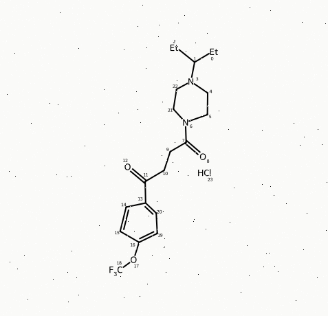 CCC(CC)N1CCN(C(=O)CCC(=O)c2ccc(OC(F)(F)F)cc2)CC1.Cl